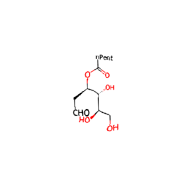 CCCCCC(=O)O[C@H](CC=O)[C@H](O)[C@H](O)CO